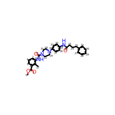 COC(=O)c1cccc(NC(=O)N2CCN(c3ccc(NC(=O)CCCc4ccccc4)cc3)CC2)c1C